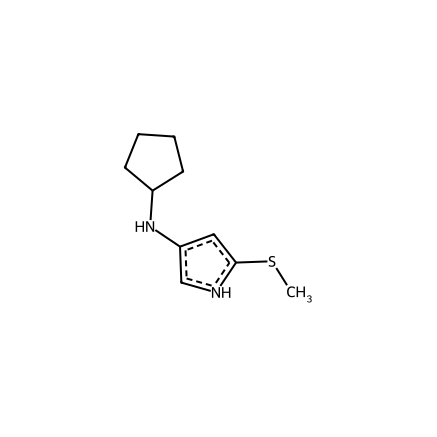 CSc1cc(NC2CCCC2)c[nH]1